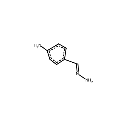 NN=Cc1ccc(N)cc1